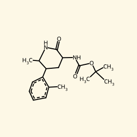 Cc1ccccc1C1CC(NC(=O)OC(C)(C)C)C(=O)NC1C